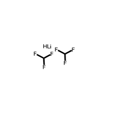 FC(F)F.FC(F)F.[LiH]